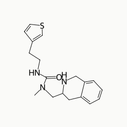 CN(CC1Cc2ccccc2CN1)C(=O)NCCc1ccsc1